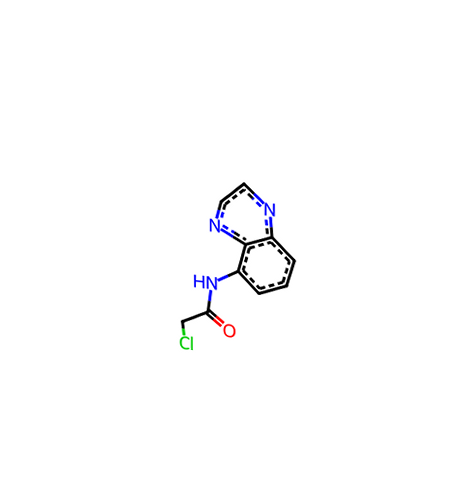 O=C(CCl)Nc1cccc2nccnc12